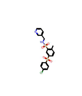 Cc1ccc(S(=O)(=O)c2ccc(Cl)cc2)cc1S(=O)(=O)NCc1cccnc1